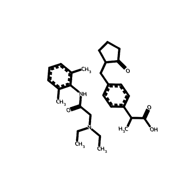 CC(C(=O)O)c1ccc(CC2CCCC2=O)cc1.CCN(CC)CC(=O)Nc1c(C)cccc1C